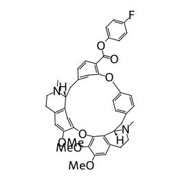 COc1cc2c3cc1Oc1c(OC)c(OC)cc4c1[C@H](Cc1ccc(cc1)Oc1cc(ccc1C(=O)Oc1ccc(F)cc1)C[C@H]3N(C)CC2)N(C)CC4